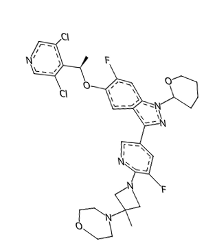 C[C@@H](Oc1cc2c(-c3cnc(N4CC(C)(N5CCOCC5)C4)c(F)c3)nn(C3CCCCO3)c2cc1F)c1c(Cl)cncc1Cl